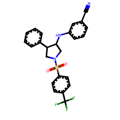 N#Cc1cccc(NC2CN(S(=O)(=O)c3ccc(C(F)(F)F)cc3)CC2c2ccccc2)c1